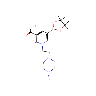 COC(=O)c1cc(B2OC(C)(C)C(C)(C)O2)cn(CCN2CCN(C(C)C)CC2)c1=O